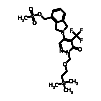 C[Si](C)(C)CCOCn1ncc(N2Cc3cccc(COS(C)(=O)=O)c3C2)c(C(F)(F)F)c1=O